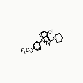 FC(F)(F)Oc1ccc(-n2nc(N3CCCCC3)c3c(Cl)ccnc32)cc1